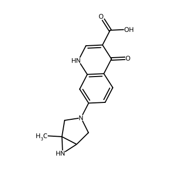 CC12CN(c3ccc4c(=O)c(C(=O)O)c[nH]c4c3)CC1N2